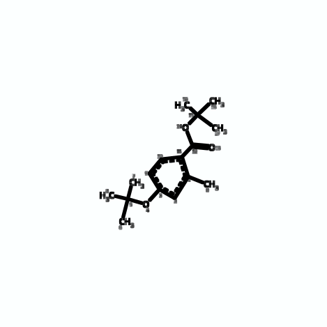 Cc1cc(OC(C)(C)C)ccc1C(=O)OC(C)(C)C